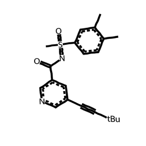 Cc1ccc(S(C)(=O)=NC(=O)c2cncc(C#CC(C)(C)C)c2)cc1C